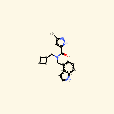 O=C(c1cc(C(F)(F)F)n[nH]1)N(Cc1cccc2[nH]ccc12)CC1CCC1